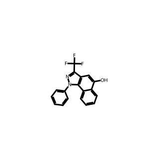 Oc1cc2c(C(F)(F)F)nn(-c3ccccc3)c2c2ccccc12